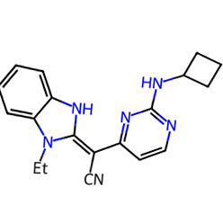 CCN1C(=C(C#N)c2ccnc(NC3CCC3)n2)Nc2ccccc21